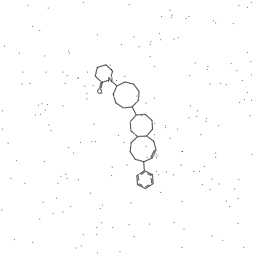 O=C1CCCCN1C1CCCCC(C2CCCC3C/C=C\C(c4ccccc4)CCCC3CC2)CCC1